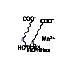 CCCCCC[C@@H](O)C/C=C\CCCCCCCC(=O)[O-].CCCCCC[C@@H](O)C/C=C\CCCCCCCC(=O)[O-].[Mn+2]